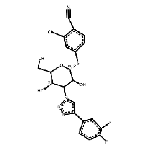 N#Cc1ccc(S[C@H]2OC(CO)[C@H](O)C(n3cc(-c4ccc(F)c(F)c4)nn3)C2O)cc1Cl